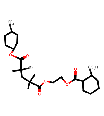 CCC(C)(CC(C)(C)C(=O)OCCOC(=O)C1CCCCC1C(=O)O)C(=O)OC1CCC(C(F)(F)F)CC1